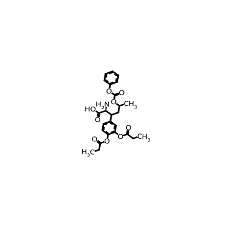 CCC(=O)Oc1ccc(C(CC(C)OC(=O)Oc2ccccc2)[C@H](N)C(=O)O)cc1OC(=O)CC